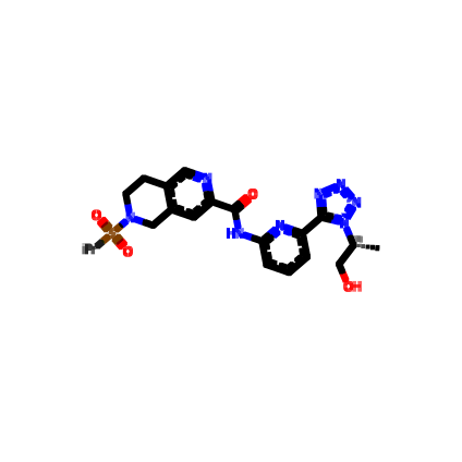 CC(C)S(=O)(=O)N1CCc2cnc(C(=O)Nc3cccc(-c4nnnn4[C@H](C)CO)n3)cc2C1